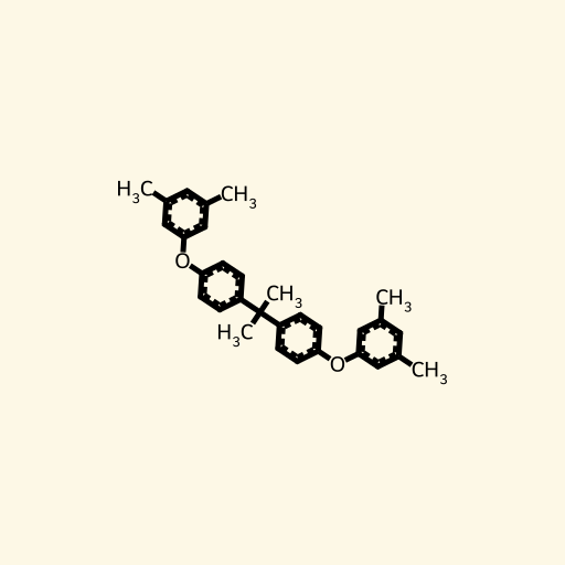 Cc1cc(C)cc(Oc2ccc(C(C)(C)c3ccc(Oc4cc(C)cc(C)c4)cc3)cc2)c1